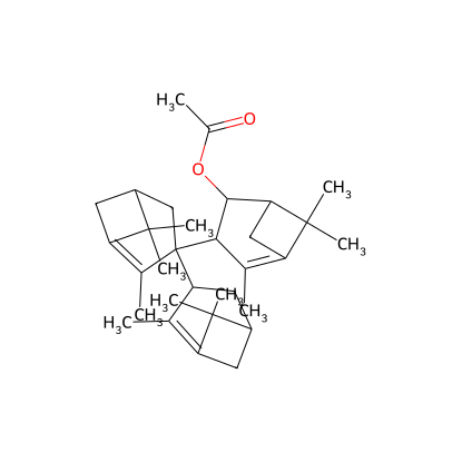 CC(=O)OC1C2CC(=C(C)C1C1(C3CC4CC(=C3C)C4(C)C)CC3CC(=C1C)C3(C)C)C2(C)C